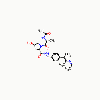 C/C=N\C(C)=C(/C)c1ccc(CNC(=O)[C@@H]2C[C@@H](O)CN2C(=O)[C@H](C)NC(C)=O)cc1